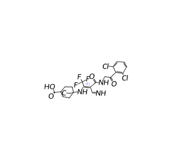 N=C/C(C(=O)NCC(=O)c1c(Cl)cccc1Cl)=C(\NC12CCC(C(=O)O)(CC1)CC2)C(F)(F)F